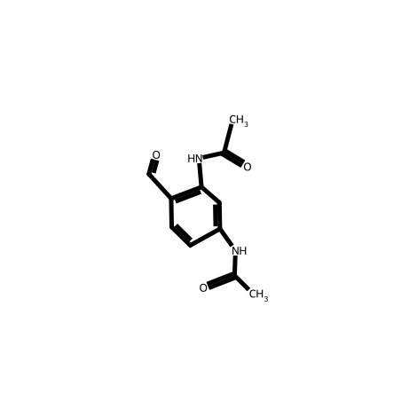 CC(=O)Nc1ccc(C=O)c(NC(C)=O)c1